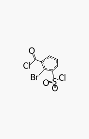 O=C(Cl)c1cccc(S(=O)(=O)Cl)c1Br